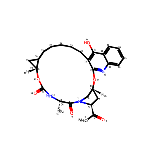 COC(=O)[C@@H]1C[C@@H]2CN1C(=O)[C@H](C(C)(C)C)NC(=O)O[C@@H]1CC1CCCCCc1c(nc3ccccc3c1O)O2